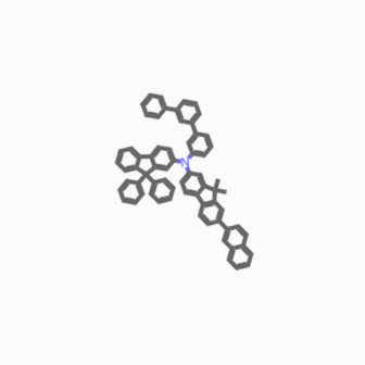 CC1(C)c2cc(-c3ccc4ccccc4c3)ccc2-c2ccc(N(c3cccc(-c4cccc(-c5ccccc5)c4)c3)c3ccc4c(c3)C(c3ccccc3)(c3ccccc3)c3ccccc3-4)cc21